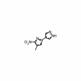 Cc1cn(-c2cn[nH]c2)nc1[N+](=O)[O-]